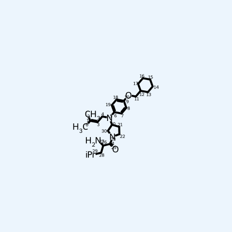 CC(C)=CCN(c1ccc(OCC2CCCCC2)cc1)C1CCN(C(=O)C(N)CC(C)C)C1